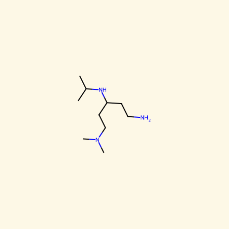 CC(C)NC(CCN)CCN(C)C